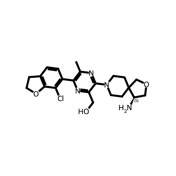 Cc1nc(N2CCC3(CC2)COC[C@H]3N)c(CO)nc1-c1ccc2c(c1Cl)OCC2